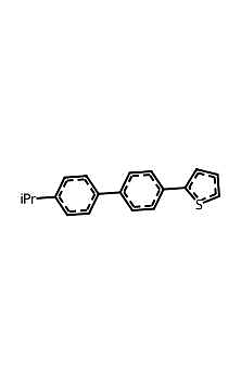 CC(C)c1ccc(-c2ccc(-c3cccs3)cc2)cc1